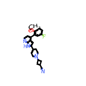 COc1ccc(F)cc1-c1ccnc2[nH]c(C3=CCN(C4CC(C#N)C4)CC3)cc12